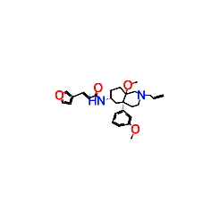 C=CCN1CC[C@@]2(c3cccc(OC)c3)C[C@H](NC(=O)/C=C/c3ccoc3)CC[C@]2(OC)C1